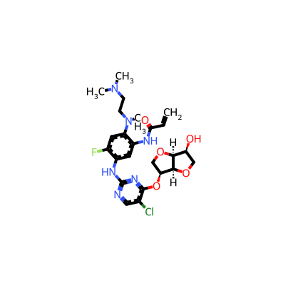 C=CC(=O)Nc1cc(Nc2ncc(Cl)c(O[C@H]3CO[C@@H]4[C@H]3OC[C@@H]4O)n2)c(F)cc1N(C)CCN(C)C